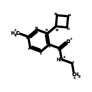 CCNC(=O)c1ccc(C)cc1C1CCC1